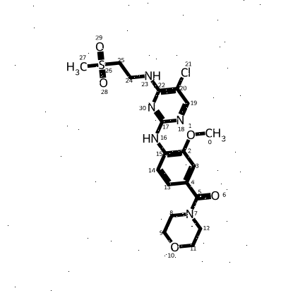 COc1cc(C(=O)N2CCOCC2)ccc1Nc1ncc(Cl)c(NCCS(C)(=O)=O)n1